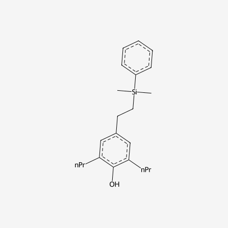 CCCc1cc(CC[Si](C)(C)c2ccccc2)cc(CCC)c1O